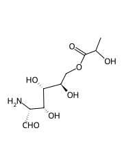 CC(O)C(=O)OC[C@@H](O)[C@@H](O)[C@H](O)[C@@H](N)C=O